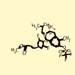 COC(=O)/C=C/c1cc(F)c([C@@H]2c3ccc(OS(=O)(=O)C(F)(F)F)c(C)c3C[C@@H](C)N2CC(C)C)c(F)c1